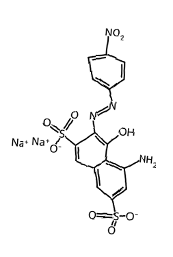 Nc1cc(S(=O)(=O)[O-])cc2cc(S(=O)(=O)[O-])c(N=Nc3ccc([N+](=O)[O-])cc3)c(O)c12.[Na+].[Na+]